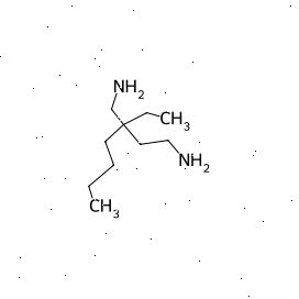 CCCCC(CC)(CN)CCN